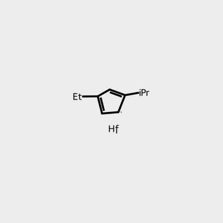 CCC1=C[CH]C(C(C)C)=C1.[Hf]